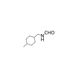 CC1CCC(CNC=O)CC1